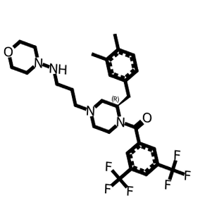 Cc1ccc(C[C@@H]2CN(CCCNN3CCOCC3)CCN2C(=O)c2cc(C(F)(F)F)cc(C(F)(F)F)c2)cc1C